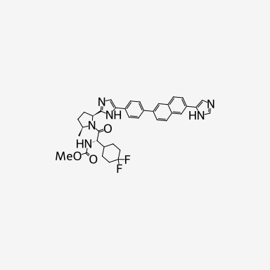 COC(=O)N[C@H](C(=O)N1[C@@H](C)CC[C@H]1c1ncc(-c2ccc(-c3ccc4cc(-c5cnc[nH]5)ccc4c3)cc2)[nH]1)C1CCC(F)(F)CC1